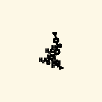 C[C@@H]1[C@H](NC(=O)c2ccc(C3CC3)cc2)CCCN1c1cnc(C(N)=O)c(Nc2cnn(C3CC3)c2)n1